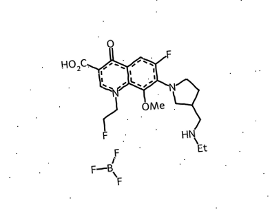 CCNCC1CCN(c2c(F)cc3c(=O)c(C(=O)O)cn(CCF)c3c2OC)C1.FB(F)F